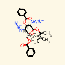 CC(OC1O[C@H](COC(=O)c2ccccc2)[C@@H](N=[N+]=[N-])[C@H](OC(=O)c2ccccc2)[C@@H]1N=[N+]=[N-])[Si](C)(C)C